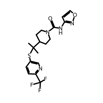 CC(C)(Sc1ccc(C(F)(F)F)nc1)C1CCN(C(=O)Nc2ccon2)CC1